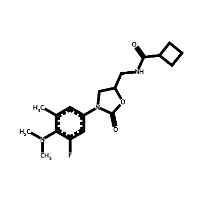 Cc1cc(N2CC(CNC(=O)C3CCC3)OC2=O)cc(F)c1N(C)C